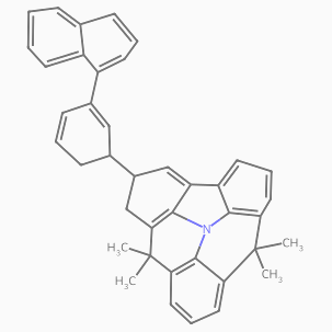 CC1(C)C2=c3c(c4cccc5c4n3-c3c1cccc3C5(C)C)=CC(C1C=C(c3cccc4ccccc34)C=CC1)C2